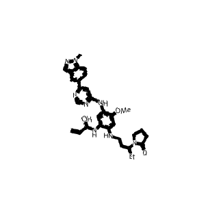 C=CC(O)Nc1cc(Nc2cc(-c3ccc4c(cnn4C)c3)ncn2)c(OC)cc1NCCC(CC)N1CCCC1=O